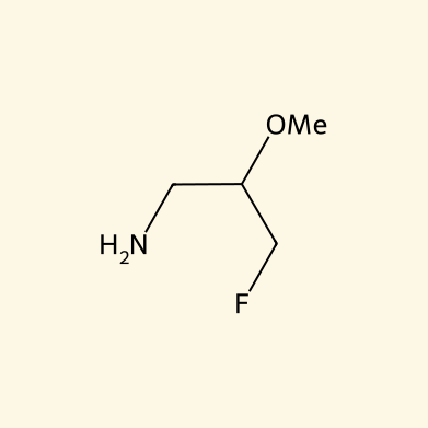 COC(CN)CF